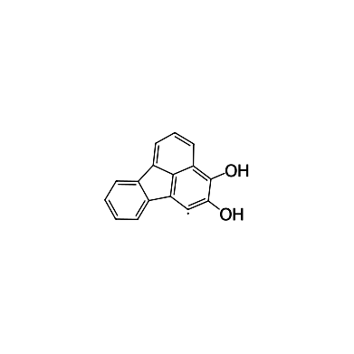 Oc1[c]c2c3c(cccc3c1O)-c1ccccc1-2